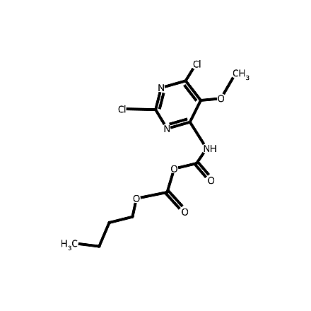 CCCCOC(=O)OC(=O)Nc1nc(Cl)nc(Cl)c1OC